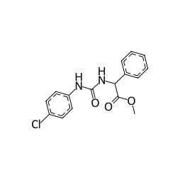 COC(=O)C(NC(=O)Nc1ccc(Cl)cc1)c1ccccc1